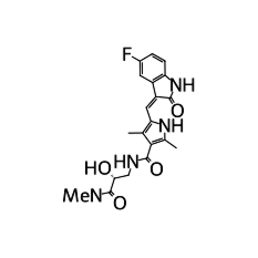 CNC(=O)[C@H](O)CNC(=O)c1c(C)[nH]c(/C=C2\C(=O)Nc3ccc(F)cc32)c1C